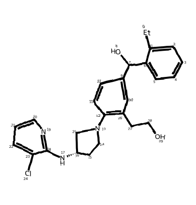 CCc1ccccc1C(O)c1ccc(N2CC[C@H](Nc3ncccc3Cl)C2)c(CCO)c1